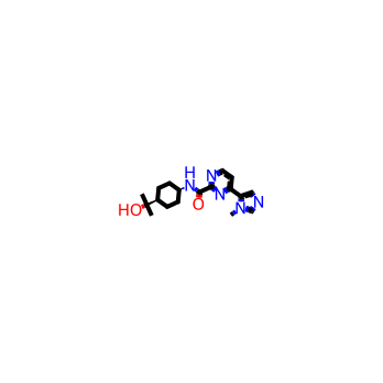 Cn1cncc1-c1ccnc(C(=O)N[C@H]2CC[C@H](C(C)(C)O)CC2)n1